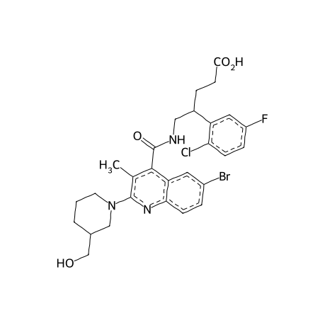 Cc1c(N2CCCC(CO)C2)nc2ccc(Br)cc2c1C(=O)NCC(CCC(=O)O)c1cc(F)ccc1Cl